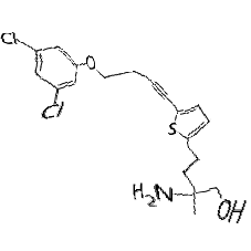 CC(N)(CO)CCc1ccc(C#CCCOc2cc(Cl)cc(Cl)c2)s1